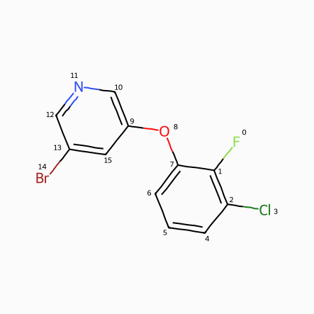 Fc1c(Cl)cccc1Oc1cncc(Br)c1